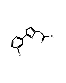 CC(=O)Oc1coc(-c2cccc(Cl)c2)n1